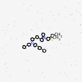 CC/C=C\c1c(C)sc2ccc(-n3c4ccccc4c4c(-c5cccc(-c6cccc(N(c7ccc(-c8ccccc8)cc7)c7ccc(-c8ccc(C9=C=CC=CC9)cc8)cc7)c6)c5)cccc43)cc12